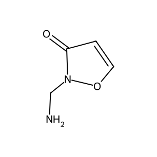 NCn1occc1=O